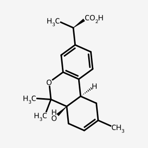 CC1=CC[C@@]2(O)[C@H](C1)c1ccc([C@@H](C)C(=O)O)cc1OC2(C)C